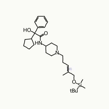 C/C(=C\CCN1CCC(NC(=O)C(O)(c2ccccc2)C2CCCC2)CC1)CO[Si](C)(C)C(C)(C)C